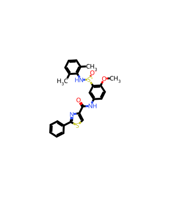 COc1ccc(NC(=O)c2csc(-c3ccccc3)n2)cc1[S+]([O-])Nc1c(C)cccc1C